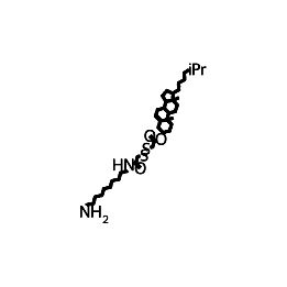 CC(C)CCCCC1CCC2C3CC=C4CC(OC(=O)CSSCC(=O)NCCCCCCCCCCN)CCC4(C)C3CCC12C